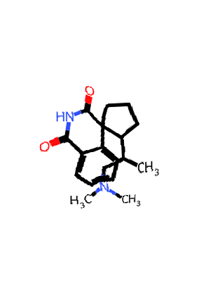 CC(CN(C)C)C1CCCC12C(=O)NC(=O)c1ccccc12